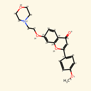 COc1ccc(-c2cc(=O)c3ccc(OCCN4CCOCC4)cc3o2)cc1